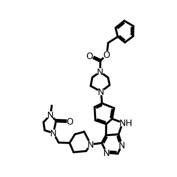 CN1CCN(CC2CCN(c3ncnc4[nH]c5cc(N6CCN(C(=O)OCc7ccccc7)CC6)ccc5c34)CC2)C1=O